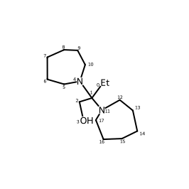 [CH2]CC(CO)(N1CCCCCC1)N1CCCCCC1